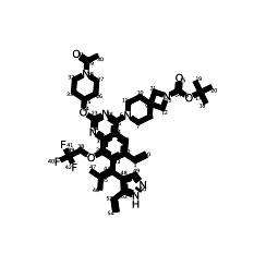 C=Cc1cc2c(N3CCC4(CC3)CN(C(=O)OC(C)(C)C)C4)nc(OC3CCN(C(C)=O)CC3)nc2c(OCC(F)(F)F)c1C(=C(C)C)c1cn[nH]c1C=C